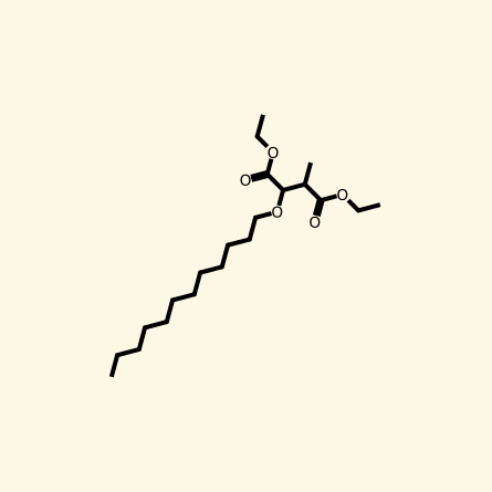 CCCCCCCCCCCCOC(C(=O)OCC)C(C)C(=O)OCC